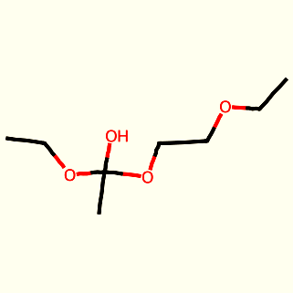 CCOCCOC(C)(O)OCC